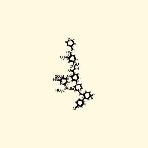 CC1(C)CCC(CN2CCN(c3ccc(C(=O)NS(=O)(=O)c4ccc(NCC5CCOCC5)c([N+](=O)[O-])c4)c(Oc4cc(NC(=O)O)nc(N(C(=O)O)C(C)(C)C)c4)c3)CC2)=C(c2ccc(Cl)cc2)C1